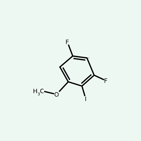 COc1cc(F)[c]c(F)c1I